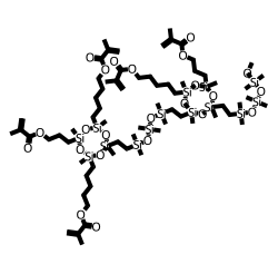 C=C(C)C(=O)OCCCCC[Si]1(C)O[Si](C)(CCCOC(=O)C(=C)C)O[Si](C)(CCCCCOC(=O)C(=C)C)O[Si](C)(CC[Si](C)(C)O[Si](C)(C)O[Si](C)(C)CC[Si]2(C)O[Si](C)(CCCCCOC(=O)C(=C)C)O[Si](C)(CCCOC(=O)C(=C)C)O[Si](C)(CC[Si](C)(C)O[Si](C)(C)O[Si](C)(C)OC)O2)O1